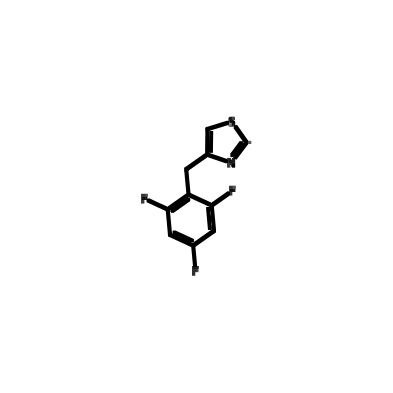 Fc1cc(F)c(Cc2cs[c]n2)c(F)c1